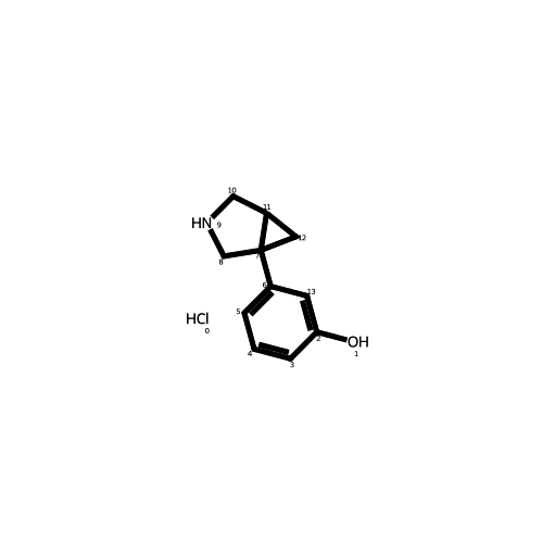 Cl.Oc1cccc(C23CNCC2C3)c1